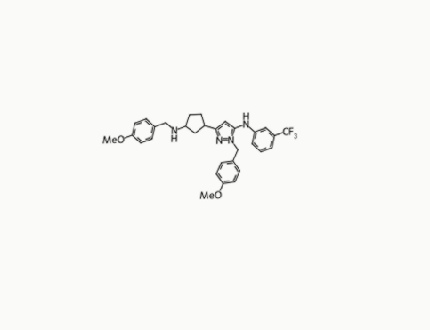 COc1ccc(CNC2CCC(c3cc(Nc4cccc(C(F)(F)F)c4)n(Cc4ccc(OC)cc4)n3)C2)cc1